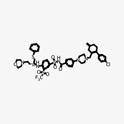 C=C1CCC(c2ccc(Cl)cc2)=C(CN2CCN(c3ccc(C(=O)NS(=O)(=O)c4ccc(N[C@H](CCN5CCOCC5)CSc5ccccc5)c(S(=O)(=O)C(F)(F)F)c4)cc3)CC2)C1